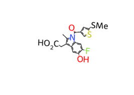 CSc1cc(C(=O)n2c(C)c(CC(=O)O)c3cc(O)c(F)cc32)cs1